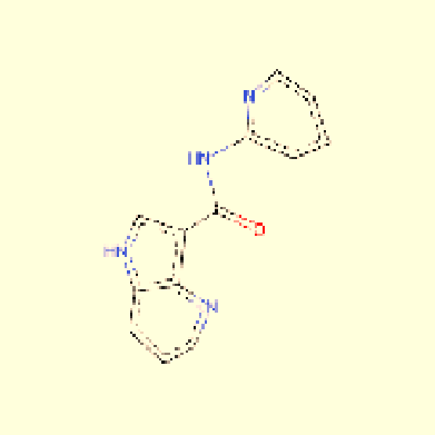 O=C(Nc1ccccn1)c1c[nH]c2cccnc12